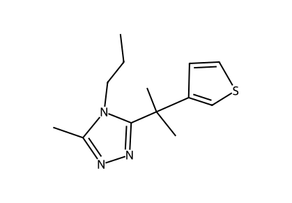 CCCn1c(C)nnc1C(C)(C)c1ccsc1